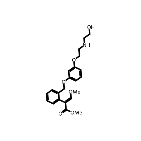 CO/C=C(/C(=O)OC)c1ccccc1COc1cccc(OCCNCCO)c1